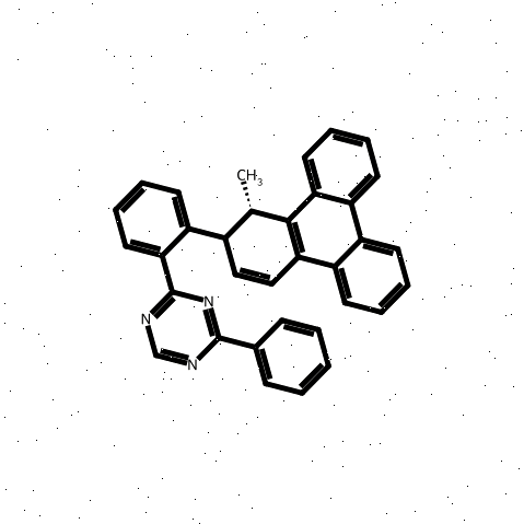 C[C@@H]1c2c(c3ccccc3c3ccccc23)C=CC1c1ccccc1-c1ncnc(-c2ccccc2)n1